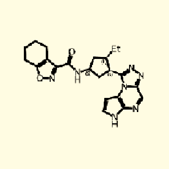 CC[C@@H]1C[C@H](NC(=O)c2noc3c2CCCC3)C[C@@H]1c1nnc2cnc3[nH]ccc3n12